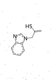 C=C(S)Cn1cnc2ccccc21